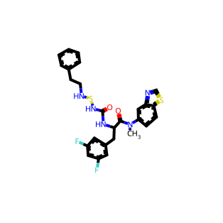 CN(C(=O)C(Cc1cc(F)cc(F)c1)NC(=O)NSNCCc1ccccc1)c1ccc2scnc2c1